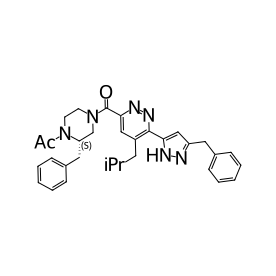 CC(=O)N1CCN(C(=O)c2cc(CC(C)C)c(-c3cc(Cc4ccccc4)n[nH]3)nn2)C[C@@H]1Cc1ccccc1